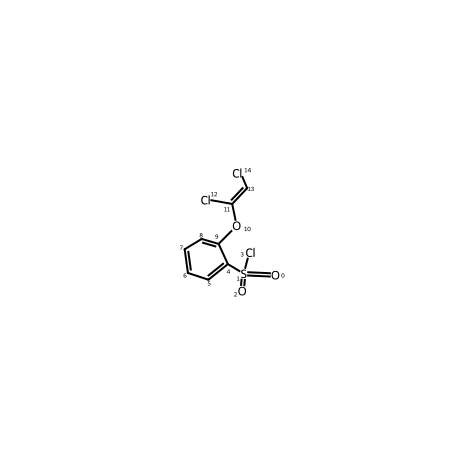 O=S(=O)(Cl)c1ccccc1O/C(Cl)=C/Cl